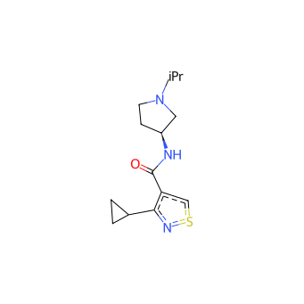 CC(C)N1CC[C@H](NC(=O)c2csnc2C2CC2)C1